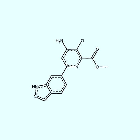 COC(=O)c1nc(-c2ccc3cn[nH]c3c2)cc(N)c1Cl